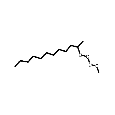 CCCCCCCCCCC(C)OOOOC